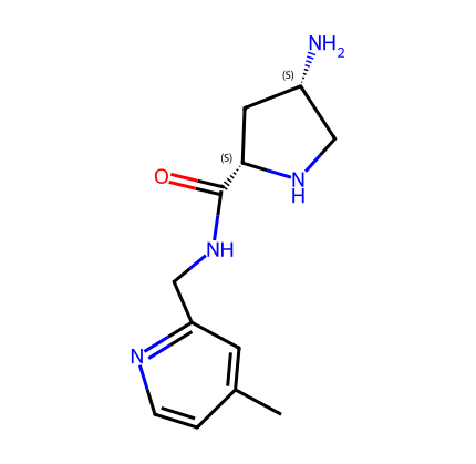 Cc1ccnc(CNC(=O)[C@@H]2C[C@H](N)CN2)c1